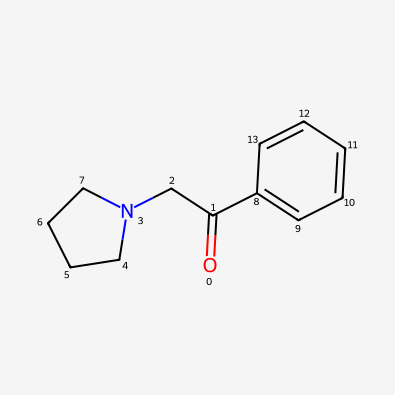 O=C(CN1CCCC1)c1ccccc1